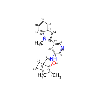 CC(C)C(=O)C1(CNc2cncc(-c3cc4ccccc4n3C)c2)CCC1